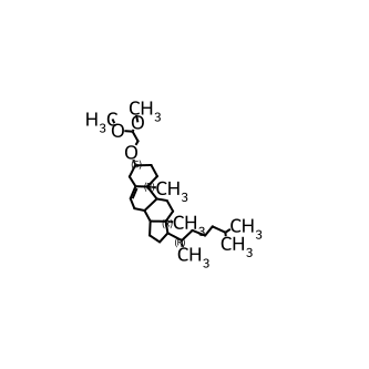 COC(CO[C@H]1CC[C@@]2(C)C(=CCC3C4CCC([C@H](C)CCCC(C)C)[C@@]4(C)CCC32)C1)OC